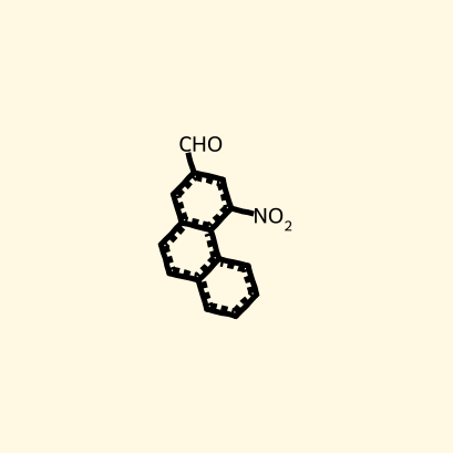 O=Cc1cc([N+](=O)[O-])c2c(ccc3ccccc32)c1